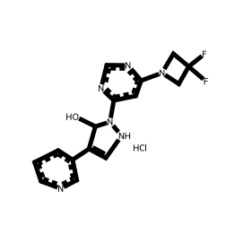 Cl.OC1C(c2cccnc2)=CNN1c1cc(N2CC(F)(F)C2)ncn1